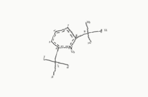 CC(C)(I)c1cccc(C(C)(C)I)n1